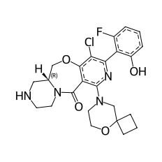 O=C1c2c(N3CCOC4(CCC4)C3)nc(-c3c(O)cccc3F)c(Cl)c2OC[C@H]2CNCCN12